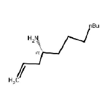 C=CC[C@H](N)CCCCCCC